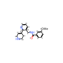 COc1cccc(C(=O)NCc2cccnc2C2=CCNCC2)c1